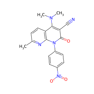 Cc1ccc2c(N(C)C)c(C#N)c(=O)n(-c3ccc([N+](=O)[O-])cc3)c2n1